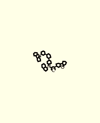 c1cc(-c2ccc(N(c3cccc(-c4ccc5c(c4)oc4ccccc45)c3)c3cccc4ccccc34)cc2)cc(-c2cccc(-n3c4ccccc4c4ccccc43)c2)c1